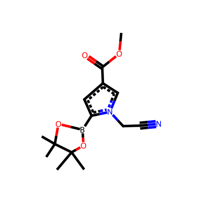 COC(=O)c1cc(B2OC(C)(C)C(C)(C)O2)n(CC#N)c1